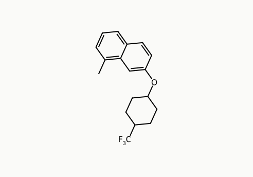 Cc1cccc2ccc(OC3CCC(C(F)(F)F)CC3)cc12